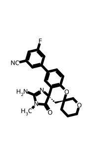 CN1C(=O)[C@@]2(C[C@@]3(CCCOC3)Oc3ccc(-c4cc(F)cc(C#N)c4)cc32)N=C1N